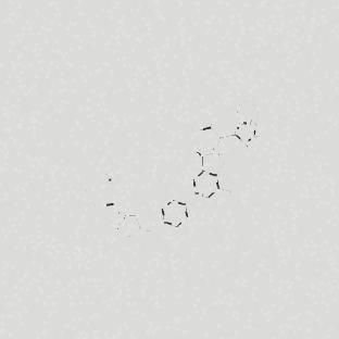 CC(C)(C)OC(=O)N1CC[C@H](Oc2ccc(-c3cc(F)c4c(c3)C(=O)N(C(C(=O)O)c3ncn5c3CCC5)C4)cc2)C1